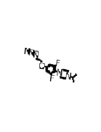 CC(C)N1CCN(c2c(F)cc(OCCN=[N+]=[N-])cc2F)CC1